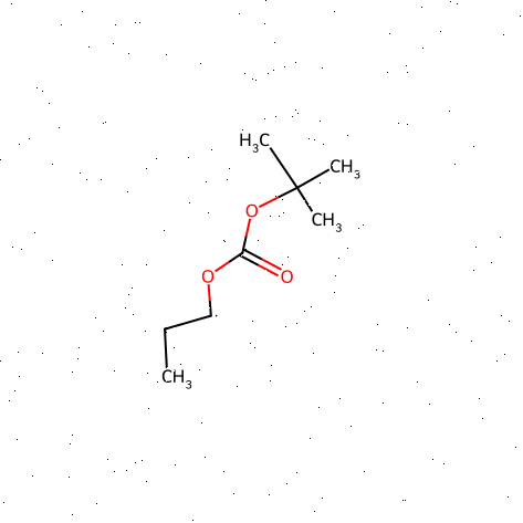 CC[CH]OC(=O)OC(C)(C)C